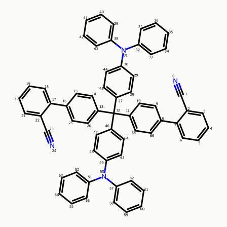 N#Cc1ccccc1-c1ccc(C(c2ccc(-c3ccccc3C#N)cc2)(c2ccc(N(c3ccccc3)c3ccccc3)cc2)c2ccc(N(c3ccccc3)c3ccccc3)cc2)cc1